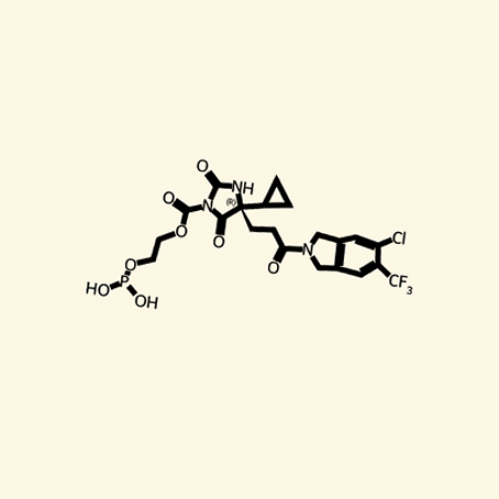 O=C(CC[C@]1(C2CC2)NC(=O)N(C(=O)OCCOP(O)O)C1=O)N1Cc2cc(Cl)c(C(F)(F)F)cc2C1